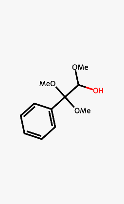 COC(O)C(OC)(OC)c1ccccc1